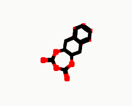 O=C1OC(=O)OC2C3c4ccccc4C(c4ccccc43)C2O1